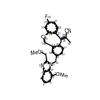 COCc1nc2cccc(OC)c2n1Cc1ccc2c(c1)COc1cc(F)ccc1/C2=C(/C)C#N